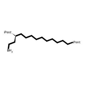 BCC[C@H](CCCCCCCCCCC(C)CCC)[C@@H](C)CCC